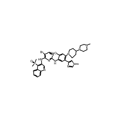 COc1cc(N2CCC(N3CCN(C)CC3)CC2)c(-c2cn(C)cn2)cc1Nc1ncc(Br)c(Nc2cnc3ccccc3c2P(C)(C)=O)n1